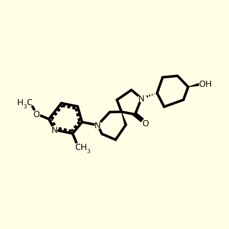 COc1ccc(N2CCC[C@]3(CCN([C@H]4CC[C@H](O)CC4)C3=O)C2)c(C)n1